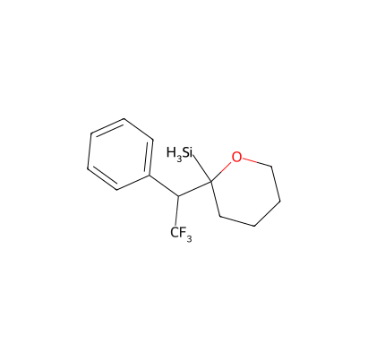 FC(F)(F)C(c1ccccc1)C1([SiH3])CCCCO1